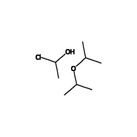 CC(C)OC(C)C.CC(O)Cl